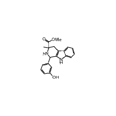 COC(=O)C1(C)Cc2c([nH]c3ccccc23)C(c2cccc(O)c2)N1